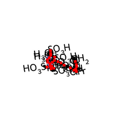 CC(C)[C@@H](C(=O)NCCOCCOCCNC(=O)CCCCc1ccc(C2=C(/C=C/C3=[N+](CCCCS(=O)(=O)O)c4ccc(S(=O)(=O)O)cc4C3(C)C)CCC/C2=C\C=C2\N(CCCCS(=O)(=O)O)c3ccc(S(=O)(=O)O)cc3C2(C)C)cc1)n1cc(-c2ccc(S(N)(=O)=O)cc2)nn1